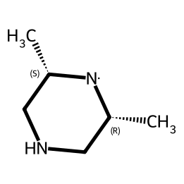 C[C@@H]1CNC[C@H](C)[N]1